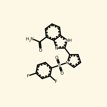 NC(=O)c1cccc2[nH]c(-c3cccn3S(=O)(=O)c3ccc(F)cc3F)nc12